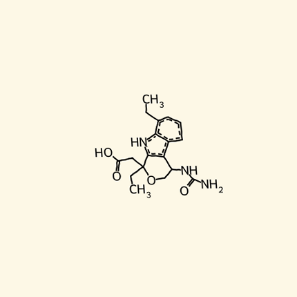 CCc1cccc2c3c([nH]c12)C(CC)(CC(=O)O)OCC3NC(N)=O